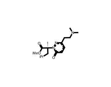 COC(=O)[C@](C)(CC(C)C)n1nc(CCN(C)C)ccc1=O